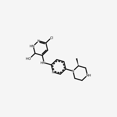 C[C@H]1CNCCN1c1ccc(NC2=CC(Cl)=NNC2O)nc1